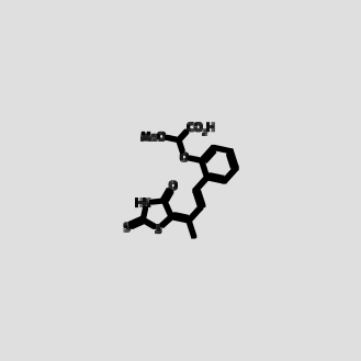 COC(Oc1ccccc1C=CC(C)=C1SC(=S)NC1=O)C(=O)O